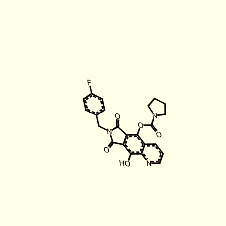 O=C(Oc1c2c(c(O)c3ncccc13)C(=O)N(Cc1ccc(F)cc1)C2=O)N1CCCC1